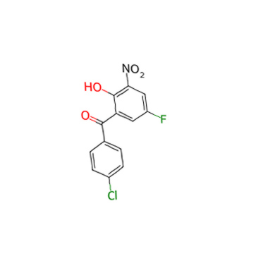 O=C(c1ccc(Cl)cc1)c1cc(F)cc([N+](=O)[O-])c1O